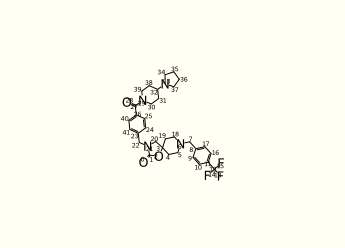 O=C1OC2(CCN(Cc3ccc(C(F)(F)F)cc3)CC2)CN1Cc1ccc(C(=O)N2CCC(N3CCCC3)CC2)cc1